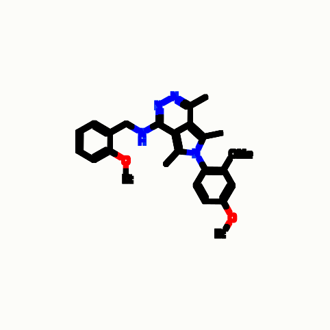 CCOc1ccc(-n2c(C)c3c(C)nnc(NCc4ccccc4OCC)c3c2C)c(OC)c1